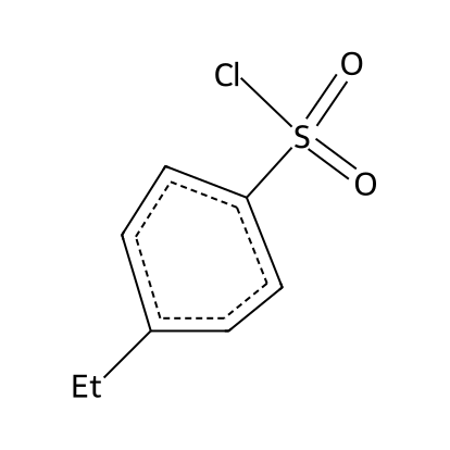 [CH2]Cc1ccc(S(=O)(=O)Cl)cc1